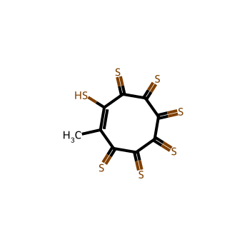 Cc1c(S)c(=S)c(=S)c(=S)c(=S)c(=S)c1=S